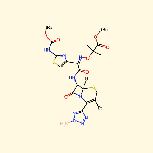 Bn1nnc(C2=C(CC)CS[C@@H]3[C@H](NC(=O)/C(=N\OC(C)(C)C(=O)OC(C)(C)C)c4csc(NC(=O)OC(C)(C)C)n4)C(=O)N23)n1